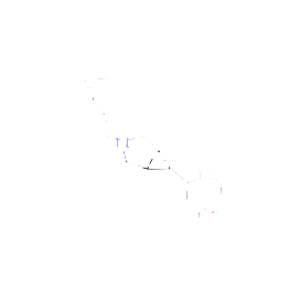 OCCCN1CC2C(C1)C2C1COCCO1